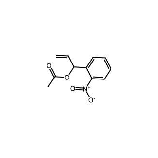 C=CC(OC(C)=O)c1ccccc1[N+](=O)[O-]